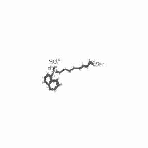 CCCCCCCCCCCCCCCCCCN(CCC)c1cccc2ccccc12.Cl